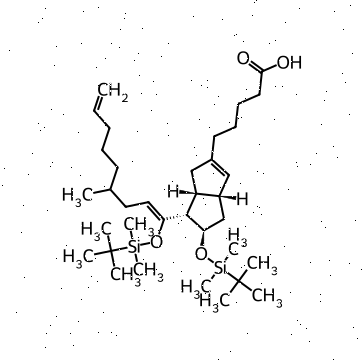 C=CCCCC(C)CC=C(O[Si](C)(C)C(C)(C)C)[C@@H]1[C@@H]2CC(CCCCC(=O)O)=C[C@@H]2C[C@H]1O[Si](C)(C)C(C)(C)C